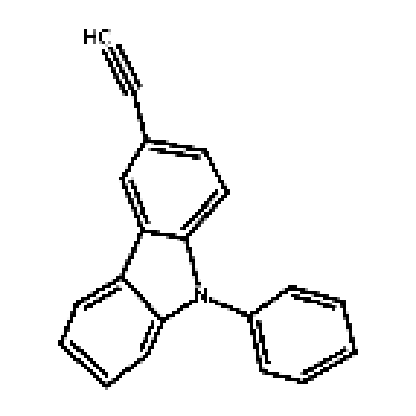 C#Cc1ccc2c(c1)c1ccccc1n2-c1ccccc1